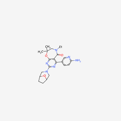 CCN1CC(C)(C)Oc2nc(N3CC4CCC(C3)O4)nc(-c3ccc(N)nc3)c2C1=O